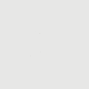 COC1(c2ccc3c(c2)OC(c2ccccc2[S+](C)[O-])O3)CCOCC1